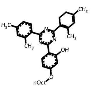 CCCCCCCCOc1ccc(-c2nc(C3=C(C)C=C(C)CC3)nc(-c3ccc(C)cc3C)n2)c(O)c1